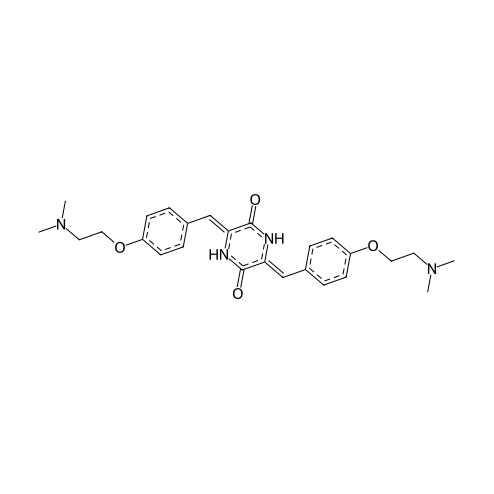 CN(C)CCOc1ccc(/C=c2\[nH]c(=O)/c(=C/c3ccc(OCCN(C)C)cc3)[nH]c2=O)cc1